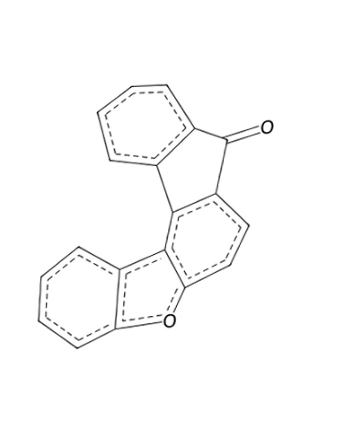 O=C1c2ccccc2-c2c1ccc1oc3ccccc3c21